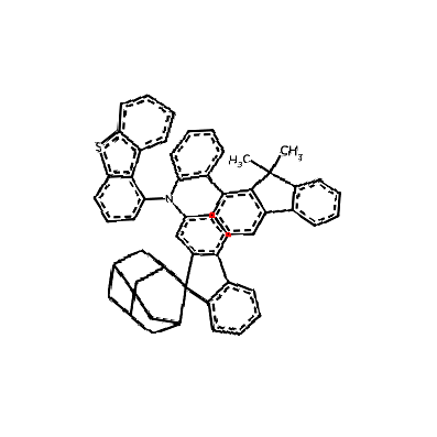 CC1(C)c2ccccc2-c2cccc(-c3ccccc3N(c3ccc4c(c3)C3(c5ccccc5-4)C4CC5CC(C4)CC3C5)c3cccc4sc5ccccc5c34)c21